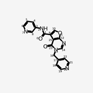 O=C(Nc1cccnc1)c1coc2ncn(Cc3ccncc3)c(=O)c12